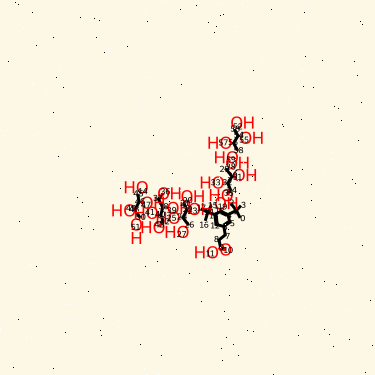 CC(C)(C)c1cc(CCC(=O)O)cc(C(C)(C)C)c1O.OC[C@@H](O)[C@@H](O)CO.OC[C@@H](O)[C@@H](O)CO.OC[C@@H](O)[C@@H](O)CO.OC[C@@H](O)[C@@H](O)CO.OC[C@@H](O)[C@@H](O)CO